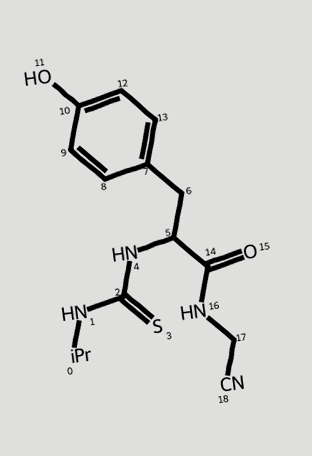 CC(C)NC(=S)NC(Cc1ccc(O)cc1)C(=O)NCC#N